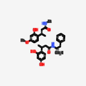 CC(CC(=O)N[C@H](Cc1ccccc1)C(=O)O)c1ccc(O)cc1O.CCNC(=O)CC(C)c1ccc(OCC)cc1O